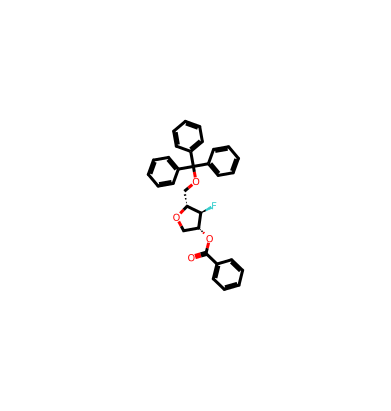 O=C(O[C@@H]1CO[C@H](COC(c2ccccc2)(c2ccccc2)c2ccccc2)[C@H]1F)c1ccccc1